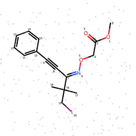 COC(=O)CO/N=C(\C#Cc1ccccc1)C(C)(C)CI